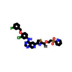 CCC(OCCS(=O)(=O)c1ccccn1)c1nc(-c2cc3c(Nc4ccc(OCc5cccc(F)c5)c(Cl)c4)ncnc3cn2)cs1